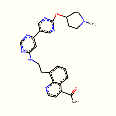 CNC(=O)c1ccnc2c(CCNc3cc(-c4cnc(OC5CCN(C)CC5)nc4)ncn3)cccc12